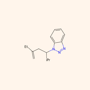 C=C(CC)CC(C(C)C)n1nnc2ccccc21